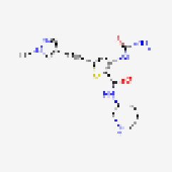 CCn1cc(C#Cc2cc(NC(N)=O)c(C(=O)N[C@H]3CCCCNC3)s2)cn1